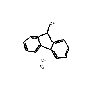 [Cl-].[Cl-].[Zr+2][CH]1c2ccccc2-c2ccccc21